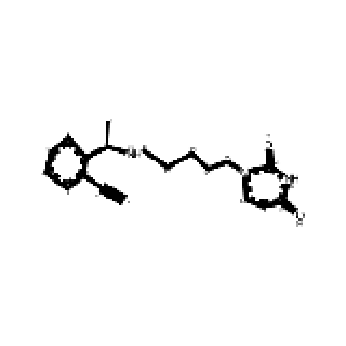 C#Cc1ccccc1[C@@H](C)NCCCCCn1ccc(=O)[nH]c1=O